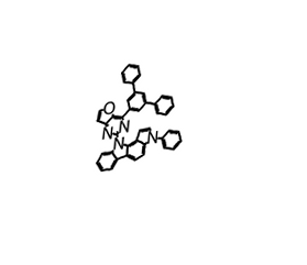 c1ccc(-c2cc(-c3ccccc3)cc(-c3nc(-n4c5ccccc5c5ccc6c(ccn6-c6ccccc6)c54)nc4ccoc34)c2)cc1